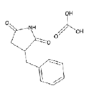 O=C(O)O.O=C1CC(Cc2ccccc2)C(=O)N1